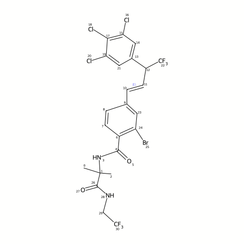 CC(C)(NC(=O)c1ccc(/C=C/C(c2cc(Cl)c(Cl)c(Cl)c2)C(F)(F)F)cc1Br)C(=O)NCC(F)(F)F